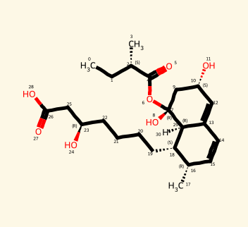 CC[C@H](C)C(=O)O[C@]1(O)C[C@H](O)C=C2C=C[C@H](C)[C@H](CCCC[C@@H](O)CC(=O)O)[C@H]21